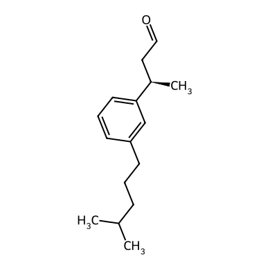 CC(C)CCCc1cccc([C@H](C)CC=O)c1